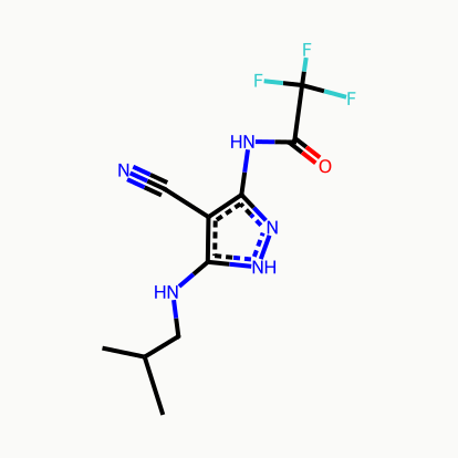 CC(C)CNc1[nH]nc(NC(=O)C(F)(F)F)c1C#N